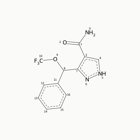 NC(=O)c1c[nH]nc1C(OC(F)(F)F)c1ccccc1